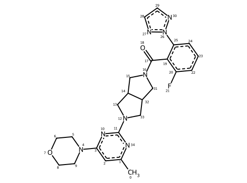 Cc1cc(N2CCOCC2)nc(N2CC3CN(C(=O)c4c(F)cccc4-n4nccn4)CC3C2)n1